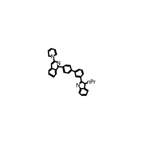 CCCC1C(c2cccc(-c3ccc(-c4nc(N5C=CC=CC5)cc5ccccc45)cc3)c2)=Nc2ccccc21